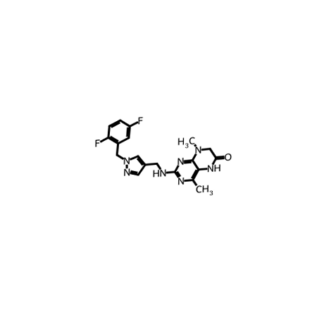 Cc1nc(NCc2cnn(Cc3cc(F)ccc3F)c2)nc2c1NC(=O)CN2C